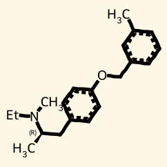 CCN(C)[C@H](C)Cc1ccc(OCc2cccc(C)c2)cc1